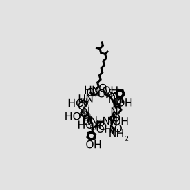 CCC(C)CC(C)CCCCCCCCC(=O)N[C@H]1C[C@@H](O)[C@@H](Sc2ccccc2)NC(=O)[C@@H]2[C@@H](O)CCN2C(=O)[C@H]([C@H](O)CC(N)=O)NC(=O)[C@H]([C@H](O)[C@@H](O)c2ccc(O)cc2)NC(=O)[C@@H]2C[C@@H](O)CN2C(=O)[C@H]([C@@H](C)O)NC1=O